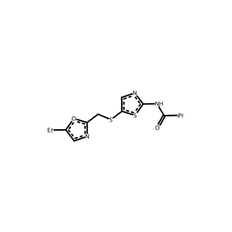 CCc1cnc(CSc2cnc(NC(=O)C(C)C)s2)o1